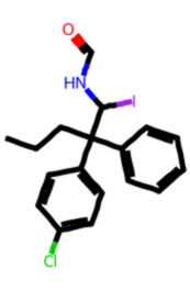 CCCC(c1ccccc1)(c1ccc(Cl)cc1)C(I)NC=O